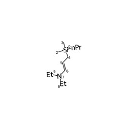 CCC[Si](C)(C)CC=CN(CC)CC